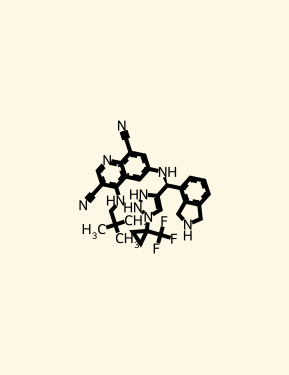 CC(C)(C)CNc1c(C#N)cnc2c(C#N)cc(N[C@H](C3=CN(C4(C(F)(F)F)CC4)NN3)c3cccc4c3CNC4)cc12